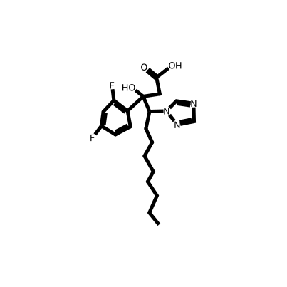 CCCCCCCCC(n1cncn1)C(O)(CC(=O)O)c1ccc(F)cc1F